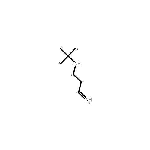 CC(C)(C)NCCC=N